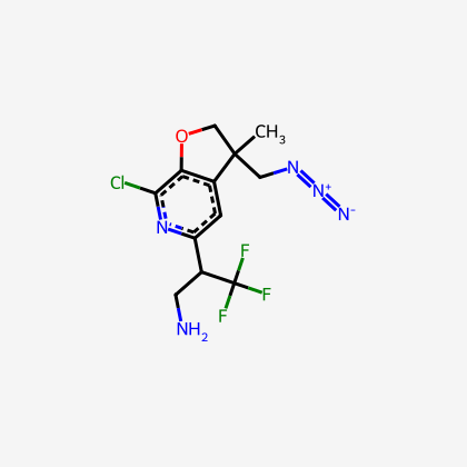 CC1(CN=[N+]=[N-])COc2c1cc(C(CN)C(F)(F)F)nc2Cl